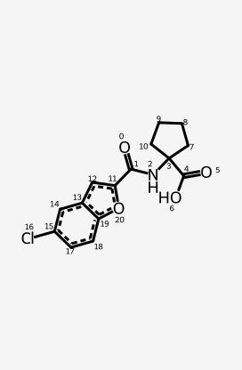 O=C(NC1(C(=O)O)CCCC1)c1cc2cc(Cl)ccc2o1